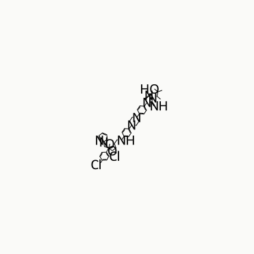 CC(O)C(C)n1ncn(-c2ccc(N3CCN(c4ccc(NCC5COC(CN6CC=CC=N6)(c6ccc(Cl)cc6Cl)O5)cc4)CC3)cc2)c1=N